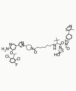 Cc1ncsc1-c1ccc(CNC(=O)[C@@H]2C[C@@H](O)CN2C(=O)C(NCCCCCCCC(=O)N2CCC(n3cc(-c4cnc(N)c(OC(C)c5c(Cl)ccc(F)c5Cl)c4)cn3)CC2)C(C)(C)C)cc1